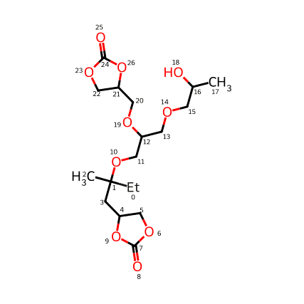 CCC(C)(CC1COC(=O)O1)OCC(COCC(C)O)OCC1COC(=O)O1